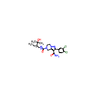 CC[C@H](CNC(=O)N1CCn2nc(-c3ccc(Cl)c(Cl)c3)c(C(N)=O)c2C1)C(C)(C)O